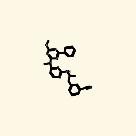 COc1nc(-c2ccccc2)nc(N(C)c2ccnc(NC(C)Cc3cccc(C#N)c3)n2)n1